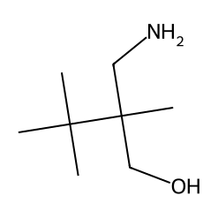 CC(C)(C)C(C)(CN)CO